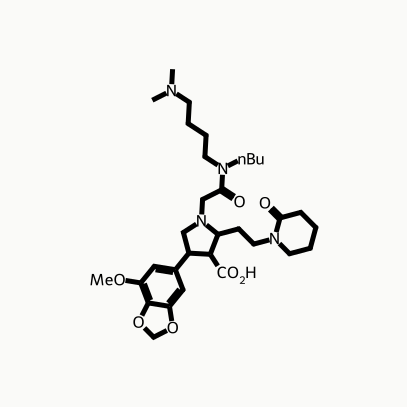 CCCCN(CCCCN(C)C)C(=O)CN1CC(c2cc(OC)c3c(c2)OCO3)C(C(=O)O)C1CCN1CCCCC1=O